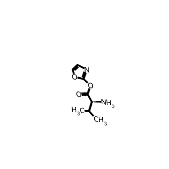 CC(C)[C@H](N)C(=O)Oc1ncco1